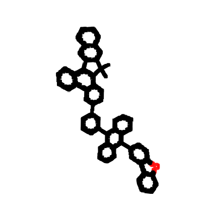 CC1(C)c2cc3ccccc3cc2-c2c1c1ccc(-c3cccc(-c4c5ccccc5c(-c5ccc6oc7ccccc7c6c5)c5ccccc45)c3)cc1c1ccccc21